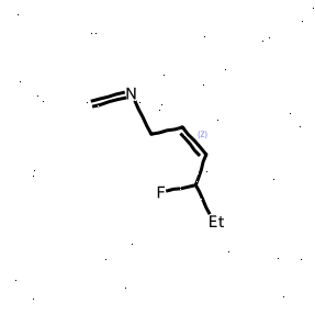 C=NC/C=C\C(F)CC